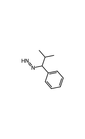 CC(C)C(N=N)c1ccccc1